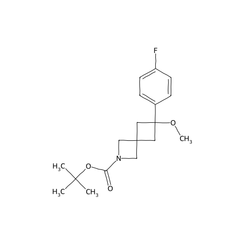 COC1(c2ccc(F)cc2)CC2(CN(C(=O)OC(C)(C)C)C2)C1